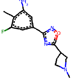 Cc1c(N)cc(-c2noc(C3CN(C)C3)n2)cc1F